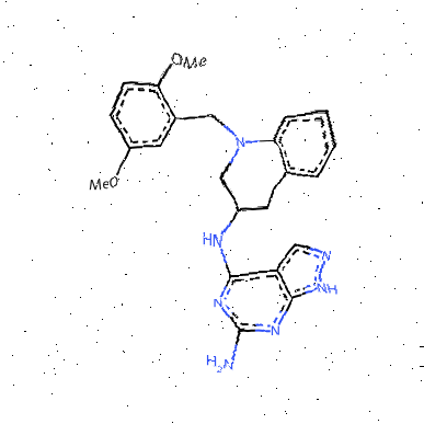 COc1ccc(OC)c(CN2CC(Nc3nc(N)nc4[nH]ncc34)Cc3ccccc32)c1